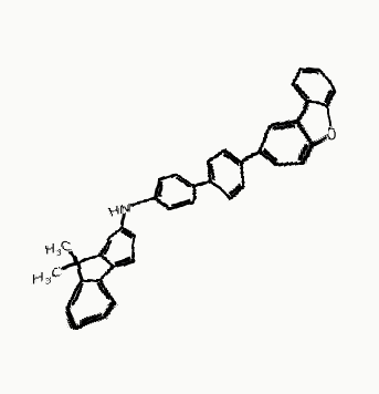 CC1(C)c2ccccc2-c2ccc(Nc3ccc(-c4ccc(-c5ccc6oc7ccccc7c6c5)cc4)cc3)cc21